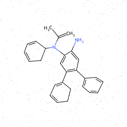 C=C(C)N(c1cc(C2=CC=CCC2)c(-c2ccccc2)cc1N)C1C=CC=CC1